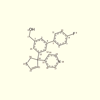 OCc1cc(-c2ccc(F)cc2)cc(C2(c3ccncc3)C=CSC2)c1